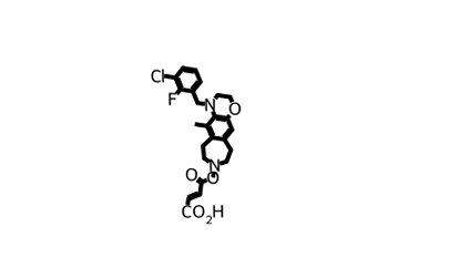 Cc1c2c(cc3c1N(Cc1cccc(Cl)c1F)CCO3)CCN(OC(=O)/C=C/C(=O)O)CC2